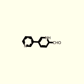 O=CC1C=CC(c2cccnc2)=CN1